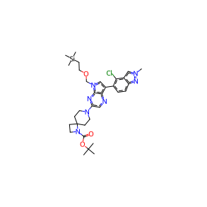 Cn1cc2c(Cl)c(-c3cn(COCC[Si](C)(C)C)c4nc(N5CCC6(CC5)CCN6C(=O)OC(C)(C)C)cnc34)ccc2n1